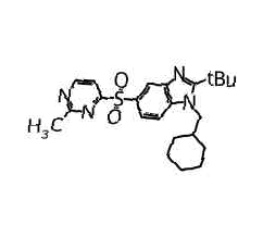 Cc1nccc(S(=O)(=O)c2ccc3c(c2)nc(C(C)(C)C)n3CC2CCCCC2)n1